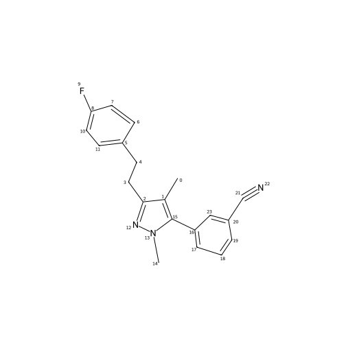 Cc1c(CCc2ccc(F)cc2)nn(C)c1-c1cccc(C#N)c1